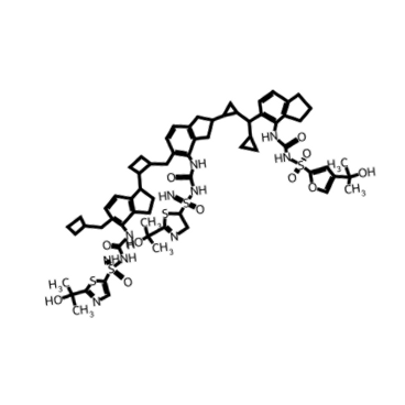 CC(C)(O)C1=NCC(S(=N)(=O)NC(=O)Nc2c(CC3CCC3C3CCc4c3ccc(CC3CCC3)c4NC(=O)NS(=N)(=O)c3cnc(C(C)(C)O)s3)ccc3c2CC(C2CC2C(c2ccc4c(c2NC(=O)NS(=O)(=O)c2cc(C(C)(C)O)co2)CCC4)C2CC2)C3)S1